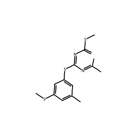 C=C(/N=C(\N=C(C)C)Sc1cc(C)cc(SC)c1)SC